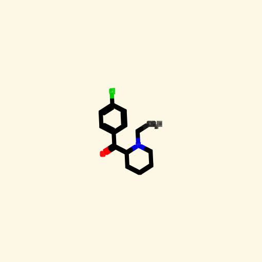 O=C(O)CN1CCCCC1C(=O)c1ccc(Cl)cc1